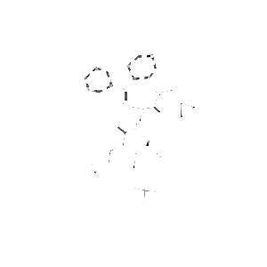 Cc1ccc(C2=N[C@H](NC(=O)[C@H](CCC(F)(F)F)[C@H](CCC(F)(F)F)C(N)=O)C(=O)N(CC3CC3)c3ccccc32)cc1